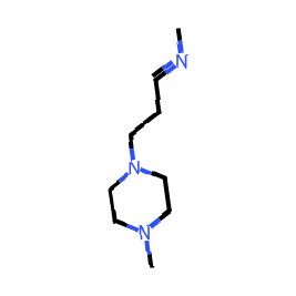 C/N=C/CCN1CCN(C)CC1